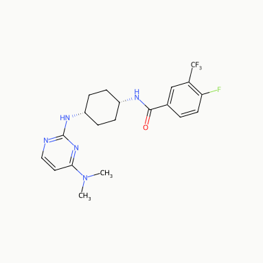 CN(C)c1ccnc(N[C@H]2CC[C@@H](NC(=O)c3ccc(F)c(C(F)(F)F)c3)CC2)n1